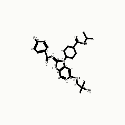 CC(C)NC(=O)C1CCC(n2/c(=N/C(=O)c3ccc(F)cc3)[nH]c3cnc(NCC(C)(C)O)cc32)CC1